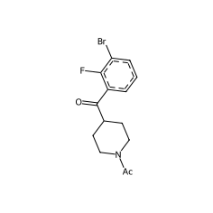 CC(=O)N1CCC(C(=O)c2cccc(Br)c2F)CC1